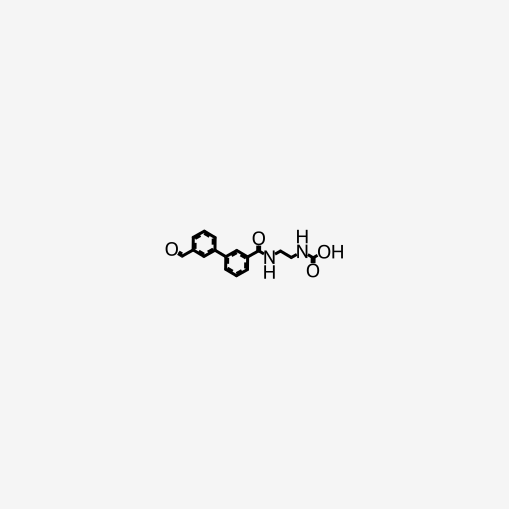 O=Cc1cccc(-c2cccc(C(=O)NCCNC(=O)O)c2)c1